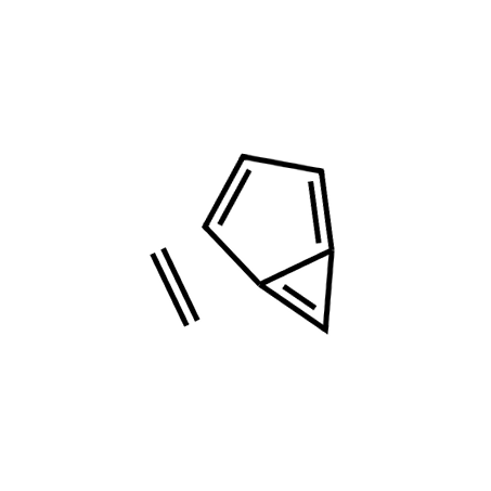 C=C.c1cc2cc-2c1